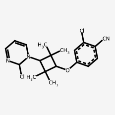 CC1(C)C(Oc2ccc(C#N)c(Cl)c2)C(C)(C)C1N1C=CC=NC1Cl